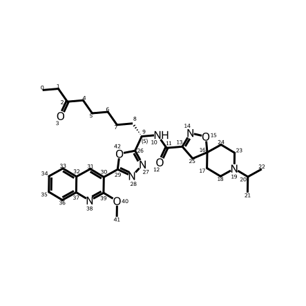 CCC(=O)CCCCC[C@H](NC(=O)C1=NOC2(CCN(C(C)C)CC2)C1)c1nnc(-c2cc3ccccc3nc2OC)o1